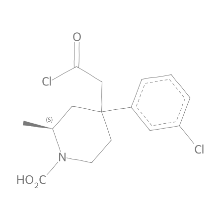 C[C@H]1CC(CC(=O)Cl)(c2cccc(Cl)c2)CCN1C(=O)O